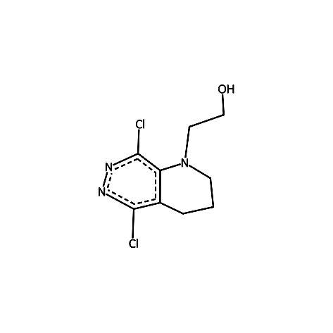 OCCN1CCCc2c(Cl)nnc(Cl)c21